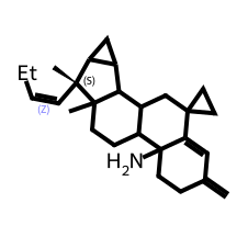 C=C1C=C2C3(CC3)CC3C(CCC4(C)C3C3CC3[C@@]4(C)/C=C\CC)C2(N)CC1